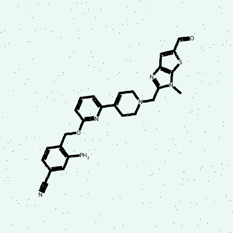 Cn1c(CN2CC=C(c3cccc(OCc4ccc(C#N)cc4P)n3)CC2)nc2cc(C=O)sc21